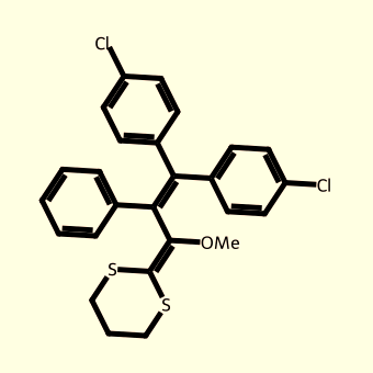 COC(=C1SCCCS1)C(=C(c1ccc(Cl)cc1)c1ccc(Cl)cc1)c1ccccc1